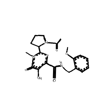 COc1ccccc1CNC(=O)c1nc(C2CCCN2C(C)=O)n(C)c(=O)c1O